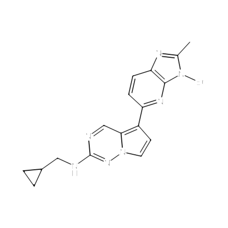 CCn1c(C)nc2ccc(-c3ccn4nc(NCC5CC5)ncc34)nc21